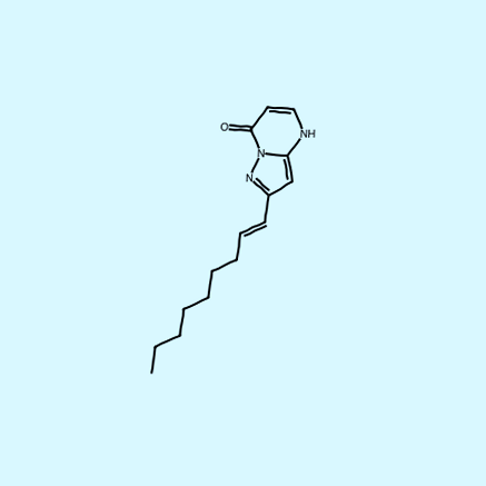 CCCCCCCC=Cc1cc2[nH]ccc(=O)n2n1